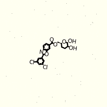 O=C(OC[C@@H]1CCC(O)[C@H](O)O1)c1ccc2nc(-c3cc(Cl)cc(Cl)c3)oc2c1